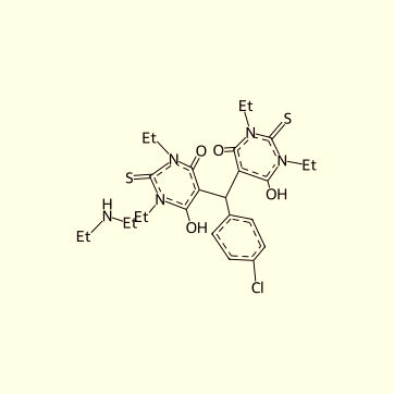 CCNCC.CCn1c(O)c(C(c2ccc(Cl)cc2)c2c(O)n(CC)c(=S)n(CC)c2=O)c(=O)n(CC)c1=S